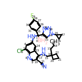 BC(Nc1cc(Cl)c2ncc(C#N)c(NCC3(CCC)CCC3)c2c1)(c1ccc(F)cc1)c1cn(C2CC2)nn1